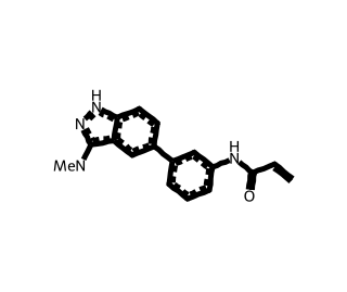 C=CC(=O)Nc1cccc(-c2ccc3[nH]nc(NC)c3c2)c1